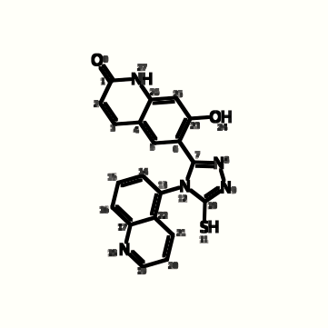 O=c1ccc2cc(-c3nnc(S)n3-c3cccc4ncccc34)c(O)cc2[nH]1